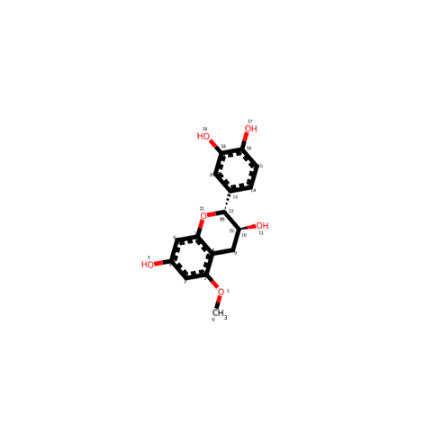 COc1cc(O)cc2c1C[C@H](O)[C@@H](c1ccc(O)c(O)c1)O2